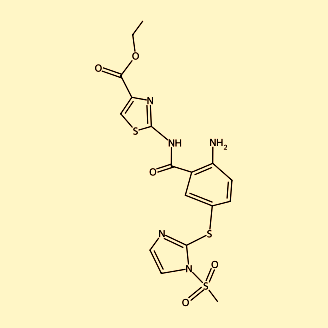 CCOC(=O)c1csc(NC(=O)c2cc(Sc3nccn3S(C)(=O)=O)ccc2N)n1